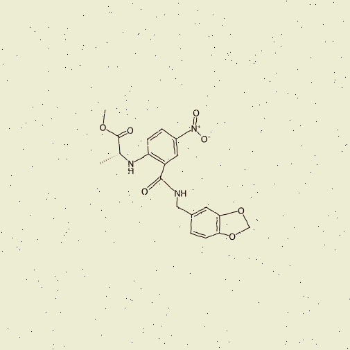 COC(=O)[C@@H](C)Nc1ccc([N+](=O)[O-])cc1C(=O)NCc1ccc2c(c1)OCO2